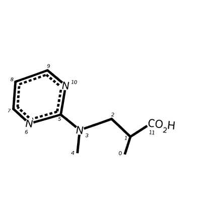 CC(CN(C)c1ncccn1)C(=O)O